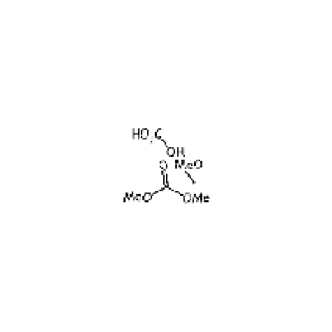 COC.COC(=O)OC.O=C(O)O